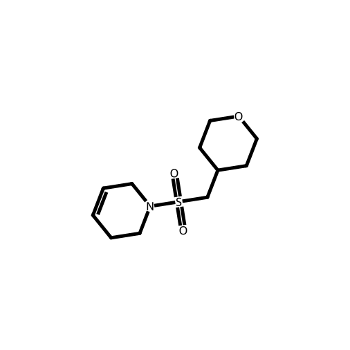 O=S(=O)(CC1CCOCC1)N1CC=CCC1